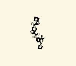 O=C(Nc1ccc(CN2CCCC2)c(C(F)(F)F)c1)c1csc2c1CCN(C(=O)c1cnc3ccccn13)C2